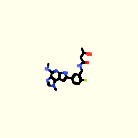 CNc1nc2[nH]c(-c3ccc(F)c(CNC(=O)CC(C)O)c3)cc2c2c1ncn2C